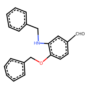 O=Cc1ccc(OCc2ccccc2)c(NCc2ccccc2)c1